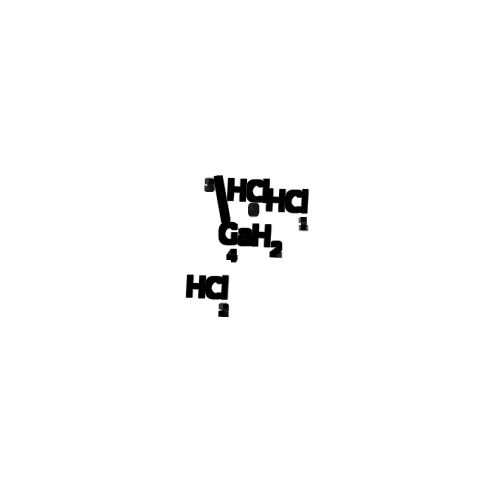 Cl.Cl.Cl.[CH3][GaH2]